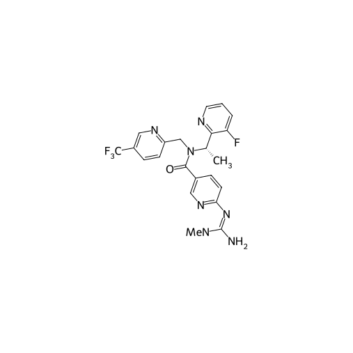 CN/C(N)=N\c1ccc(C(=O)N(Cc2ccc(C(F)(F)F)cn2)[C@@H](C)c2ncccc2F)cn1